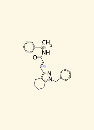 C[C@H](NC(=O)/C=C/c1nn(Cc2ccccc2)c2c1CCCC2)c1ccccc1